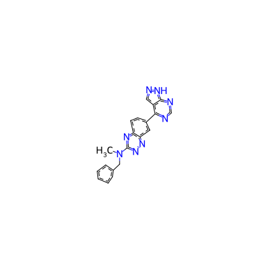 CN(Cc1ccccc1)c1nnc2cc(-c3ncnc4[nH]ncc34)ccc2n1